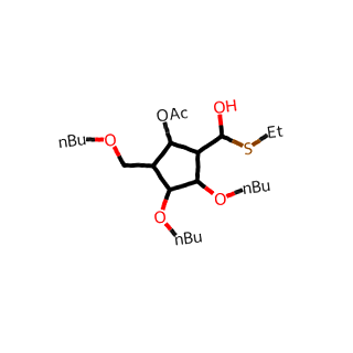 CCCCOCC1C(OCCCC)C(OCCCC)C(C(O)SCC)C1OC(C)=O